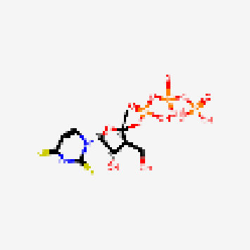 C[C@]1(OP(=O)(O)OP(=O)(O)OP(=O)(O)O)O[C@@H](n2ccc(=S)[nH]c2=S)[C@@H](O)C1CO